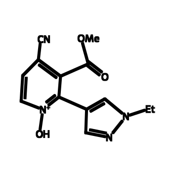 CCn1cc(-c2c(C(=O)OC)c(C#N)cc[n+]2O)cn1